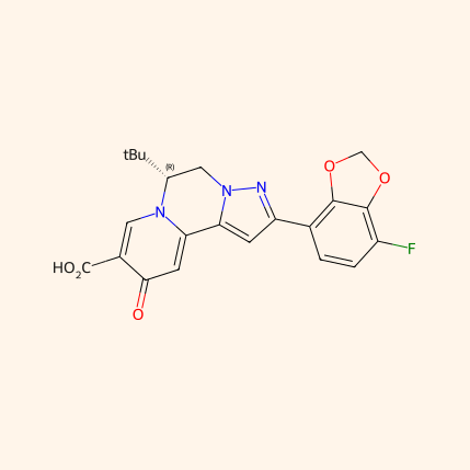 CC(C)(C)[C@@H]1Cn2nc(-c3ccc(F)c4c3OCO4)cc2-c2cc(=O)c(C(=O)O)cn21